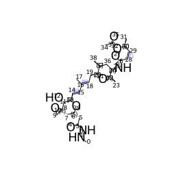 CNNC(=O)C[C@@H]1C[C@@]2(CO2)C(O)[C@@H](/C=C/C(C)=C/C[C@@H]2O[C@H](C)[C@H](NC(=O)/C=C\[C@H](C)OC(C)=O)C[C@@H]2C)O1